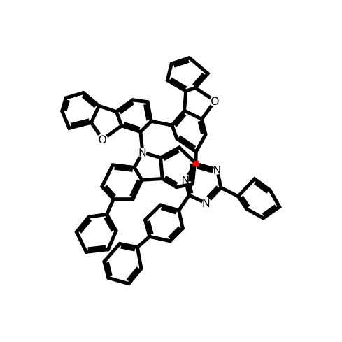 c1ccc(-c2ccc(-c3nc(-c4ccccc4)nc(-c4cc(-c5ccc6c(oc7ccccc76)c5-n5c6ccccc6c6cc(-c7ccccc7)ccc65)c5c(c4)oc4ccccc45)n3)cc2)cc1